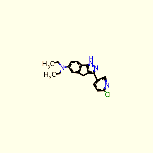 CCN(CC)c1ccc2c(c1)Cc1c(-c3ccc(Cl)nc3)n[nH]c1-2